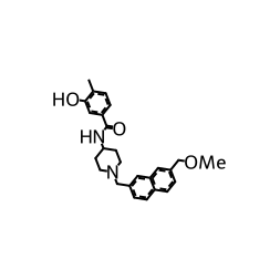 COCc1ccc2ccc(CN3CCC(NC(=O)c4ccc(C)c(O)c4)CC3)cc2c1